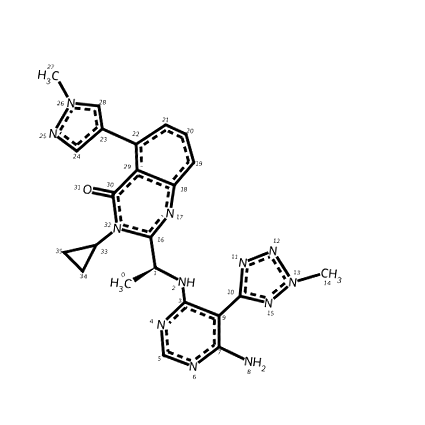 C[C@H](Nc1ncnc(N)c1-c1nnn(C)n1)c1nc2cccc(-c3cnn(C)c3)c2c(=O)n1C1CC1